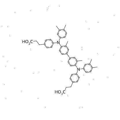 Cc1ccc(N(c2ccc(CCC(=O)O)cc2)c2ccc(-c3ccc(N(c4ccc(CCC(=O)O)cc4)c4ccc(C)c(C)c4)c(C)c3)cc2C)cc1C